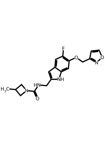 CC1CN(C(=O)NCc2cc3cc(F)c(OCc4ccon4)cc3[nH]2)C1